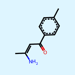 C/C(N)=C/C(=O)c1ccc(C)cc1